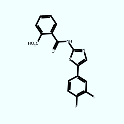 O=C(O)c1ccccc1C(=O)Nc1ncc(-c2ccc(F)c(F)c2)s1